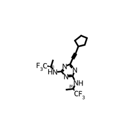 C[C@@H](Nc1nc(C#CC2CCCC2)nc(N[C@H](C)C(F)(F)F)n1)C(F)(F)F